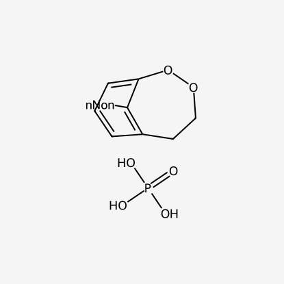 CCCCCCCCCc1c2cccc1OOCC2.O=P(O)(O)O